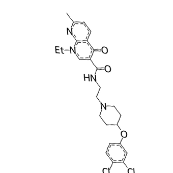 CCn1cc(C(=O)NCCN2CCC(Oc3ccc(Cl)c(Cl)c3)CC2)c(=O)c2ccc(C)nc21